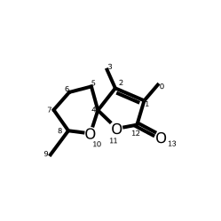 CC1=C(C)C2(CCCC(C)O2)OC1=O